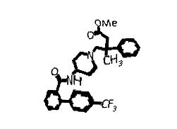 COC(=O)CC(C)(CN1CCC(NC(=O)c2ccccc2-c2ccc(C(F)(F)F)cc2)CC1)c1ccccc1